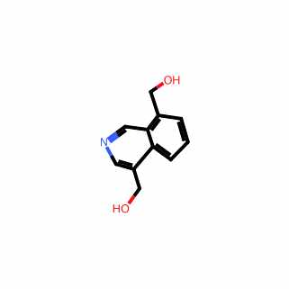 OCc1cncc2c(CO)cccc12